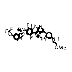 COCCNC1CCC(c2cnc(N)c3c(-c4cc(F)c(NS(=O)(=O)c5cc(OC(F)F)ccc5F)cc4F)nn(C(C)C)c23)CC1